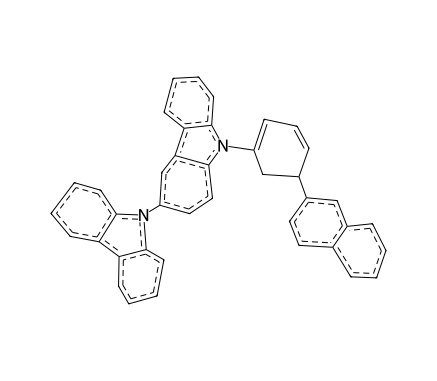 C1=CC(c2ccc3ccccc3c2)CC(n2c3ccccc3c3cc(-n4c5ccccc5c5ccccc54)ccc32)=C1